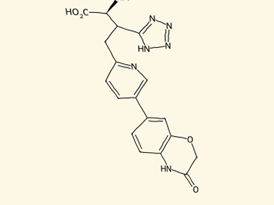 CCC[C@H](C(=O)O)C(Cc1ccc(-c2ccc3c(c2)OCC(=O)N3)cn1)c1nnn[nH]1